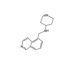 c1cc(CNC2CCNCC2)c2ccncc2c1